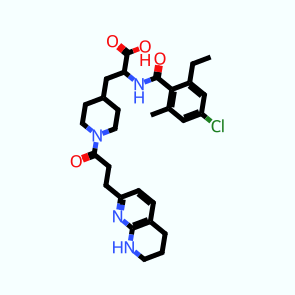 CCc1cc(Cl)cc(C)c1C(=O)NC(CC1CCN(C(=O)CCc2ccc3c(n2)NCCC3)CC1)C(=O)O